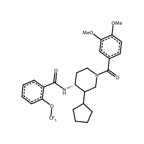 COc1ccc(C(=O)N2CC[C@@H](NC(=O)c3ccccc3OC(F)(F)F)C(C3CCCC3)C2)cc1OC